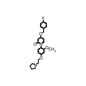 COc1cc(OCCN2CCCC2)ccc1-n1ccc(OCc2ccc(F)cc2)cc1=O